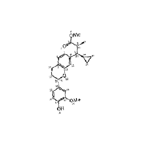 COC(=O)[C@@H](C)[C@H](c1ccc2c(c1)O[C@H](c1ccc(O)c(OC)c1)CC2)C1CC1